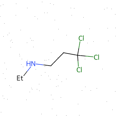 CCNCCC(Cl)(Cl)Cl